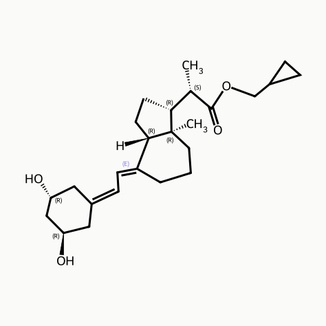 C[C@H](C(=O)OCC1CC1)[C@H]1CC[C@H]2/C(=C/C=C3C[C@@H](O)C[C@H](O)C3)CCC[C@]12C